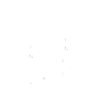 C[Si](C)(C)N(CCCN(c1ccccc1C(F)(F)F)[Si](C)(C)C)c1ccccc1C(F)(F)F